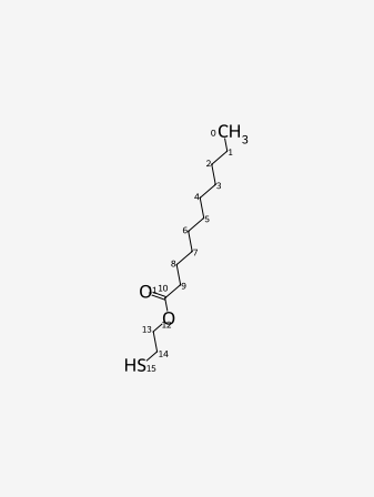 CCCCCCCCCCC(=O)OCCS